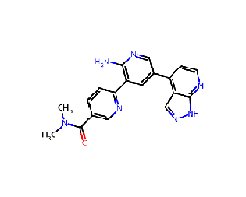 CN(C)C(=O)c1ccc(-c2cc(-c3ccnc4[nH]ncc34)cnc2N)nc1